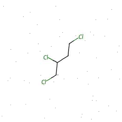 Cl[CH]C(Cl)CCCl